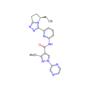 COc1nn(-c2cnccn2)cc1C(=O)Nc1cccc(-c2nnc3n2[C@H](CC#N)CC3)n1